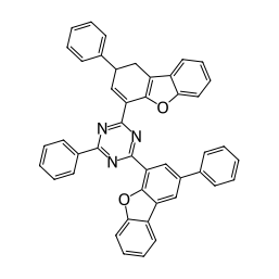 C1=C(c2nc(-c3ccccc3)nc(-c3cc(-c4ccccc4)cc4c3oc3ccccc34)n2)c2oc3ccccc3c2CC1c1ccccc1